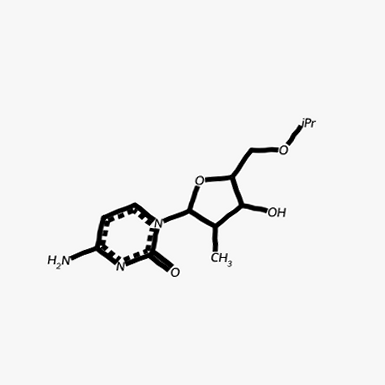 CC(C)OCC1OC(n2ccc(N)nc2=O)C(C)C1O